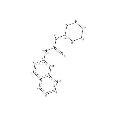 O=C(Nc1ccc2cccnc2c1)OC1CCCCC1